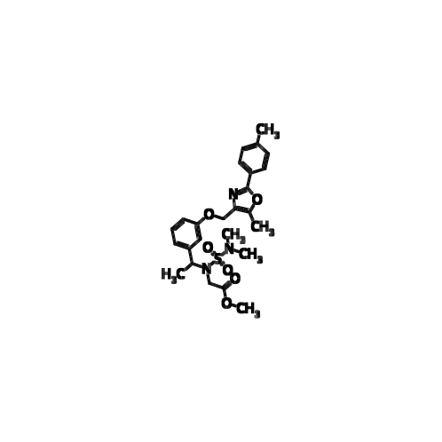 COC(=O)CN(C(C)c1cccc(OCc2nc(-c3ccc(C)cc3)oc2C)c1)S(=O)(=O)N(C)C